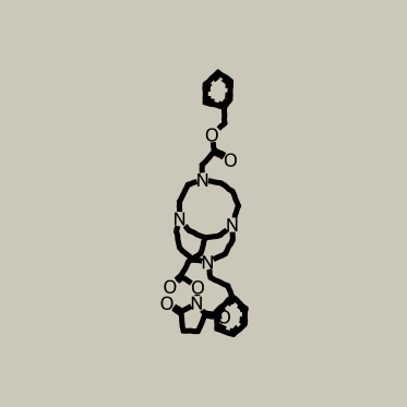 O=C(CN1CCCN2CCN(CCc3ccccc3)CCCN(CC1)CC(CCC(=O)ON1C(=O)CCC1=O)C2)OCc1ccccc1